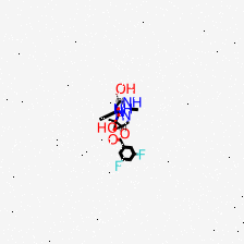 C=C1NC2[C@H](CO)NC(=C)N3C[C@@]4(OC(=O)c5cc(F)cc(F)c5)CC4(C)C23N1O